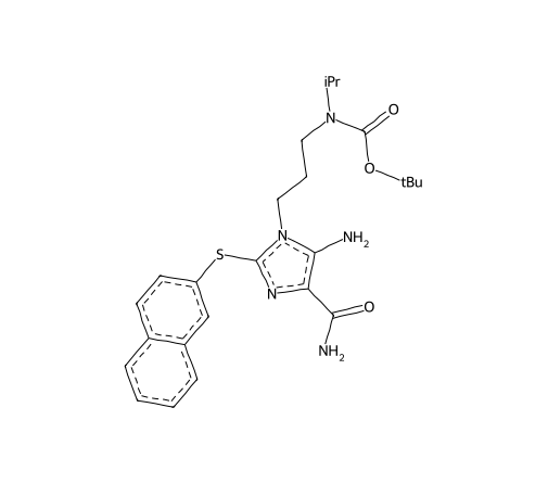 CC(C)N(CCCn1c(Sc2ccc3ccccc3c2)nc(C(N)=O)c1N)C(=O)OC(C)(C)C